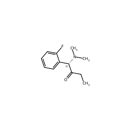 CCC(=O)[C@H](c1ccccc1F)N(C)C